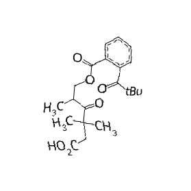 CC(COC(=O)c1ccccc1C(=O)C(C)(C)C)C(=O)C(C)(C)CC(=O)O